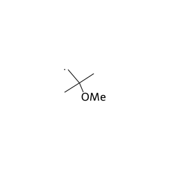 [CH2]C(C)(C)OC